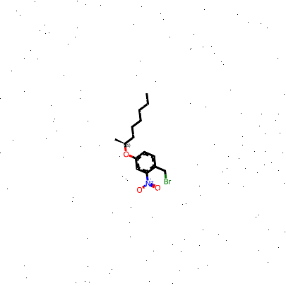 CCCCCC[C@H](C)Oc1ccc(CBr)c([N+](=O)[O-])c1